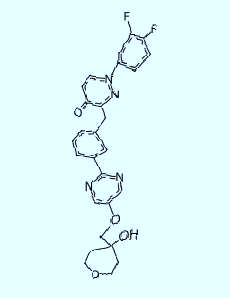 O=c1ccn(-c2ccc(F)c(F)c2)nc1Cc1cccc(-c2ncc(OCC3(O)CCOCC3)cn2)c1